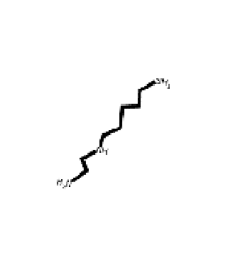 NCCNCCCCC[SiH3]